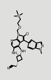 Cn1ncc2cc(-c3c(Cl)n(COCC[Si](C)(C)C)c4ncc(N)c(N[C@H]5C[C@@H](CC#N)C5)c34)ccc21